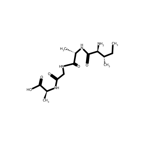 CC[C@H](C)[C@H](N)C(=O)N[C@@H](C)C(=O)NCC(=O)N[C@@H](C)C(=O)O